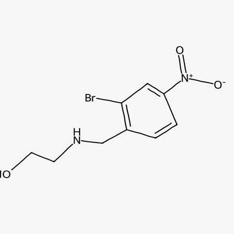 O=[N+]([O-])c1ccc(CNCCO)c(Br)c1